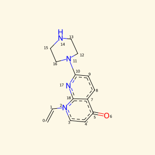 C=Cn1c[c]c(=O)c2ccc(N3CCNCC3)nc21